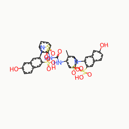 Cc1c2ccc(c1NC(=O)Nc1c3ccc(c1C)N(c1cc4cc(O)ccc4cc1S(=O)(=O)O)S3(=O)=O)S(=O)(=O)N2c1cc2cc(O)ccc2cc1S(=O)(=O)O